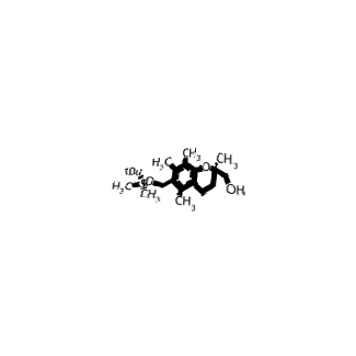 Cc1c(C)c2c(c(C)c1CO[Si](C)(C)C(C)(C)C)CC[C@@](C)(CO)O2